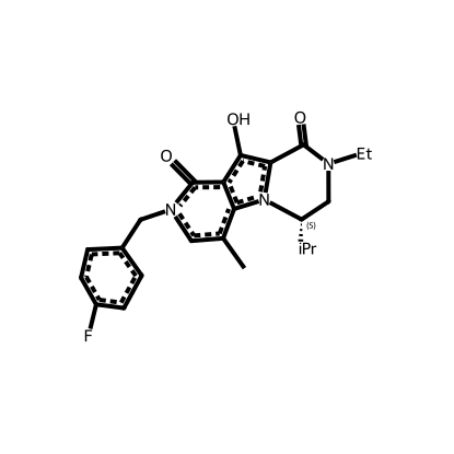 CCN1C[C@H](C(C)C)n2c(c(O)c3c(=O)n(Cc4ccc(F)cc4)cc(C)c32)C1=O